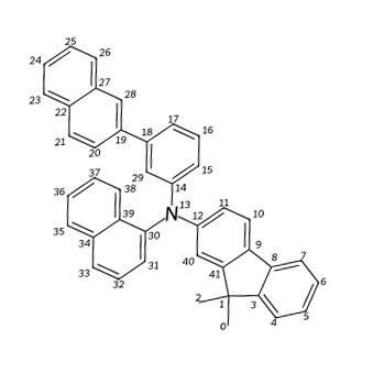 CC1(C)c2ccccc2-c2ccc(N(c3cccc(-c4ccc5ccccc5c4)c3)c3cccc4ccccc34)cc21